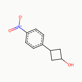 O=[N+]([O-])c1ccc(C2CC(O)C2)cc1